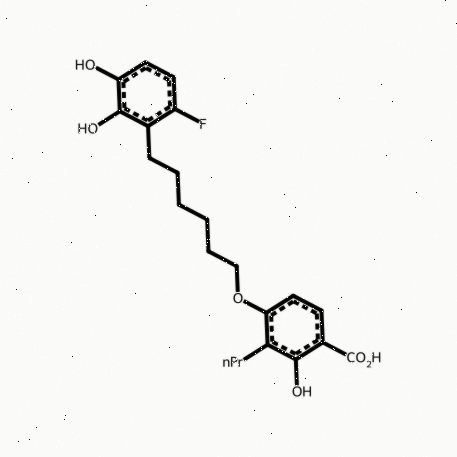 CCCc1c(OCCCCCCc2c(F)ccc(O)c2O)ccc(C(=O)O)c1O